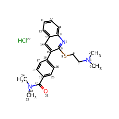 CN(C)CCSc1nc2ccccc2cc1-c1ccc(C(=O)N(C)C)cc1.Cl